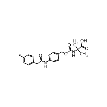 CC(C)(NC(=O)OCc1ccc(NC(=O)Cc2ccc(F)cc2)cc1)C(=O)O